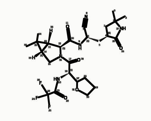 CC1(C)C[C@@H](C[C@@H](C#N)NC(=O)[C@@H]2[C@@H]3[C@H](CN2C(=O)[C@@H](NC(=O)C(F)(F)F)C2CCCO2)C3(C)C)C(=O)N1